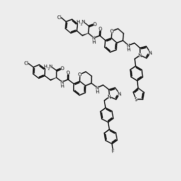 NC(=O)[C@H](Cc1ccc(Cl)cc1)NC(=O)c1cccc2c1OCCC2NCc1cncn1Cc1ccc(-c2ccc(F)cc2)cc1.NC(=O)[C@H](Cc1ccc(Cl)cc1)NC(=O)c1cccc2c1OCCC2NCc1cncn1Cc1ccc(-c2ccsc2)cc1